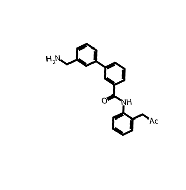 CC(=O)Cc1ccccc1NC(=O)c1cccc(-c2cccc(CN)c2)c1